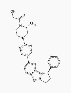 C[C@@H]1CN(c2ncc(-c3ccc4nc5n(c4n3)[C@@H](c3ccccc3)CC5)cn2)CCN1C(=O)CO